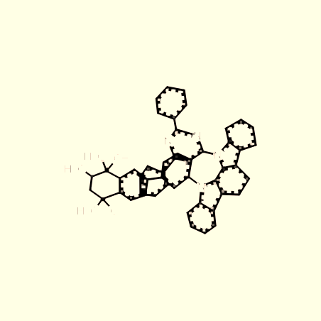 CC1CC(C)(C)c2ccc(-c3cccc(-n4c5ccccc5c5ccc6c7ccccc7n(-c7nc(-c8ccccc8)nc(-c8ccccc8)n7)c6c54)c3)cc2C1(C)C